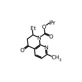 CCC1CC(=O)c2ccc(C)nc2N1C(=O)OC(C)C